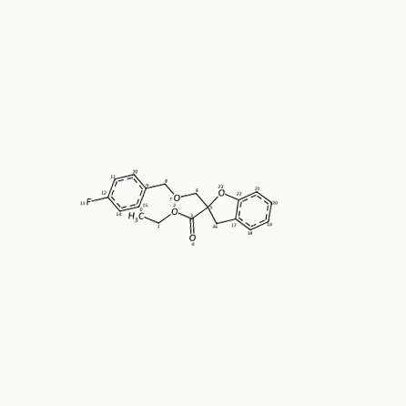 CCOC(=O)C1(COCc2ccc(F)cc2)Cc2ccccc2O1